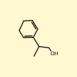 CC(CO)C1=CCCC=C1